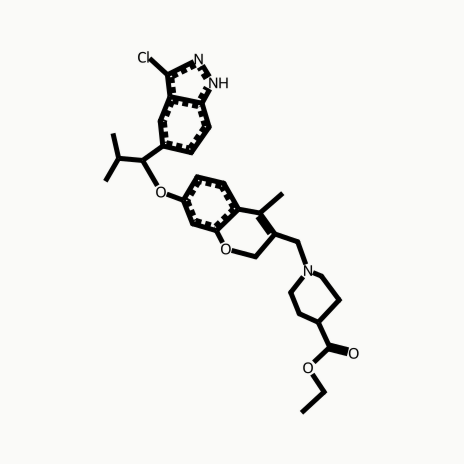 CCOC(=O)C1CCN(CC2=C(C)c3ccc(OC(c4ccc5[nH]nc(Cl)c5c4)C(C)C)cc3OC2)CC1